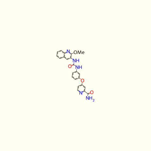 COc1nc2ccccc2cc1NC(=O)Nc1cccc(Oc2ccnc(C(N)=O)c2)c1